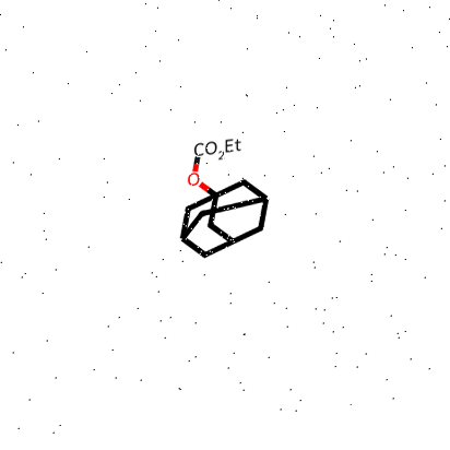 [CH2]COC(=O)OC12CC3CC(CC(C3)C1)C2